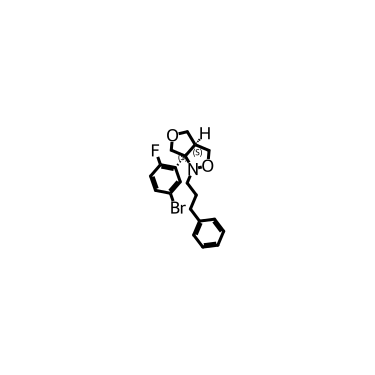 Fc1ccc(Br)cc1[C@]12COC[C@H]1CON2CCCc1ccccc1